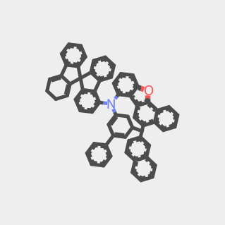 CC1C=C(c2ccccc2)C=C(N(c2cccc3c2-c2ccccc2C32C3=CCCC=C3c3ccccc32)c2cccc3oc4c5ccccc5c(-c5ccc6ccccc6c5)cc4c23)C1